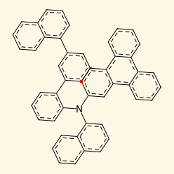 c1cc(-c2ccccc2N(c2ccc3c4ccccc4c4ccccc4c3c2)c2cccc3ccccc23)cc(-c2cccc3ccccc23)c1